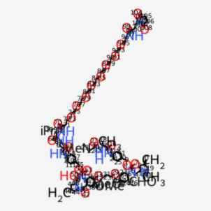 C=C1CC(CN(C(=O)OCc2ccc(NC(=O)C(C)NC(=O)CNC)cc2)c2cc(OCCCOc3cc4c(cc3OC)C(=O)N3CC(=C)CC3C(O)N4C(=O)OCc3ccc(NC(=O)CNC(=O)C(NC(=O)CCOCCOCCOCCOCCOCCOCCOCCOCCNC(=O)CCN4C(=O)C=CC4=O)C(C)C)cc3)c(OC)cc2C=O)N(C)C1